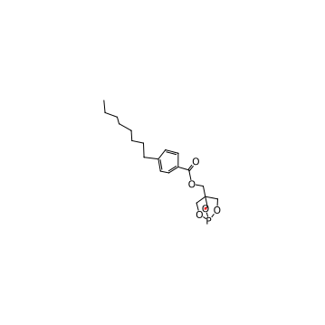 CCCCCCCCc1ccc(C(=O)OCC23COP(OC2)OC3)cc1